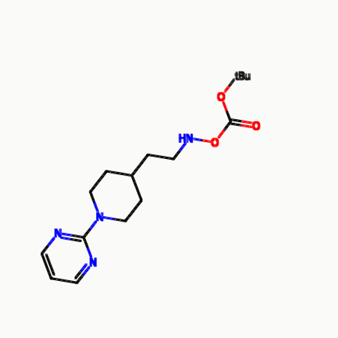 CC(C)(C)OC(=O)ONCCC1CCN(c2ncccn2)CC1